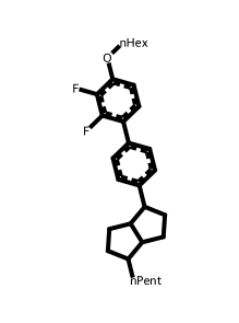 CCCCCCOc1ccc(-c2ccc(C3CCC4C(CCCCC)CCC34)cc2)c(F)c1F